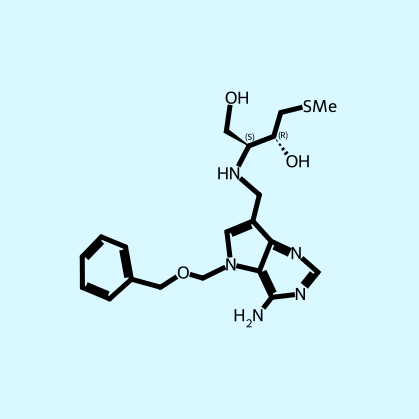 CSC[C@H](O)[C@H](CO)NCc1cn(COCc2ccccc2)c2c(N)ncnc12